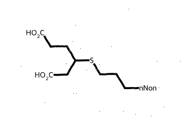 CCCCCCCCCCCCSC(CCC(=O)O)CC(=O)O